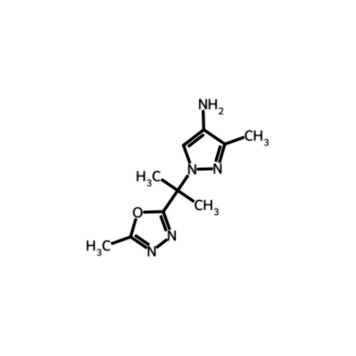 Cc1nnc(C(C)(C)n2cc(N)c(C)n2)o1